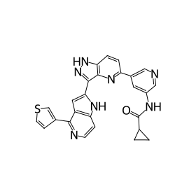 O=C(Nc1cncc(-c2ccc3[nH]nc(-c4cc5c(-c6ccsc6)nccc5[nH]4)c3n2)c1)C1CC1